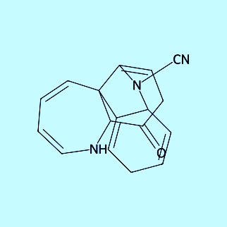 N#CN1C2=CCC(=O)C3NC=CC=CC23C2=CCC=CC21